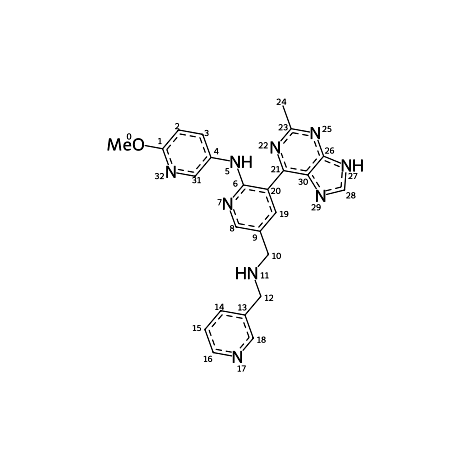 COc1ccc(Nc2ncc(CNCc3cccnc3)cc2-c2nc(C)nc3[nH]cnc23)cn1